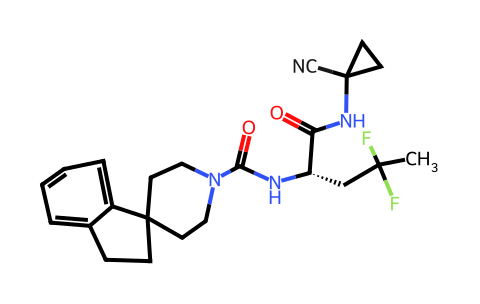 CC(F)(F)C[C@H](NC(=O)N1CCC2(CCc3ccccc32)CC1)C(=O)NC1(C#N)CC1